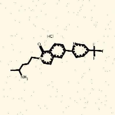 CC(N)CCCn1ccc2cc(-c3ccc(C(F)(F)F)cn3)ccc2c1=O.Cl